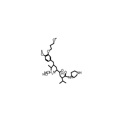 COCCCOc1cc(CC(CC(N)C(O)CC(C(=O)NC2CCNCC2)C(C)C)C(C)C)ccc1OC.Cl.Cl